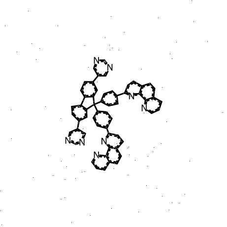 c1cnc2c(c1)ccc1ccc(-c3ccc(C4(c5ccc(-c6ccc7ccc8cccnc8c7n6)cc5)c5cc(-c6cncnc6)ccc5-c5ccc(-c6cncnc6)cc54)cc3)nc12